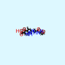 Cc1cc(N2CC(C(=O)NC3=NOCC3)C2)nc2[nH]cc(C(=O)O)c(=O)c12